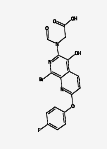 O=CN(CC(=O)O)c1nc(Br)c2nc(Oc3ccc(F)cc3)ccc2c1O